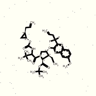 C=CC[C@@H]1C[C@H]1OC(=O)NC(C(=O)N1C[C@H](Oc2nc3cc(OC)ccc3nc2C(F)(F)CC=C)[C@@H](CC)[C@H]1C(=O)OC(C)(C)C)C(C)(C)C